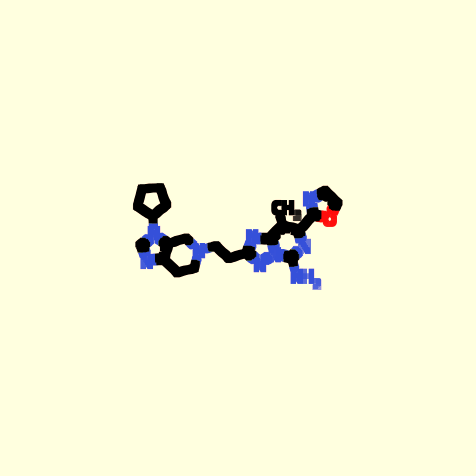 Cc1c(-c2ncco2)nc(N)n2nc(CCN3CCc4ncn(C5CCCC5)c4C3)nc12